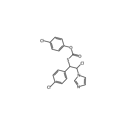 O=C(Oc1ccc(Cl)cc1)SC(c1ccc(Cl)cc1)C(Cl)n1ccnc1